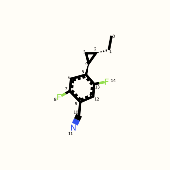 CC[C@H]1C[C@@H]1c1cc(F)c(C#N)cc1F